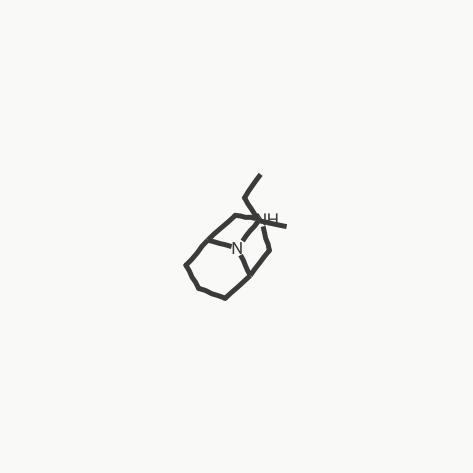 CCC(C)N1C2CCCC1CNC2